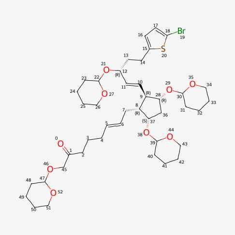 O=C(CCCC=CC[C@@H]1[C@@H](C=C[C@@H](CCc2ccc(Br)s2)OC2CCCCO2)[C@H](OC2CCCCO2)C[C@@H]1OC1CCCCO1)COC1CCCCO1